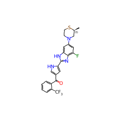 C[C@H]1CN(c2cc(F)c3nc(-c4cc(C(=O)c5ccccc5C(F)(F)F)c[nH]4)[nH]c3c2)CCS1